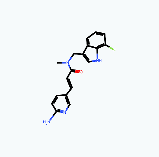 CN(Cc1c[nH]c2c(F)cccc12)C(=O)C=Cc1ccc(N)nc1